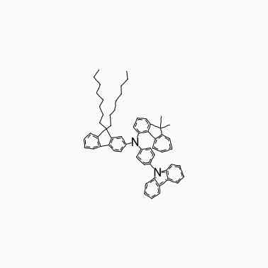 CCCCCCCCC1(CCCCCCCC)c2ccccc2-c2ccc(N(c3ccc(-n4c5ccccc5c5ccccc54)cc3)c3cccc4c3-c3ccccc3C4(C)C)cc21